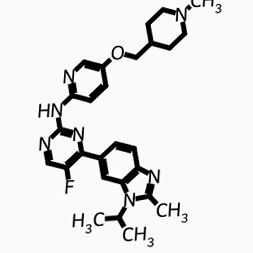 Cc1nc2ccc(-c3nc(Nc4ccc(OCC5CCN(C)CC5)cn4)ncc3F)cc2n1C(C)C